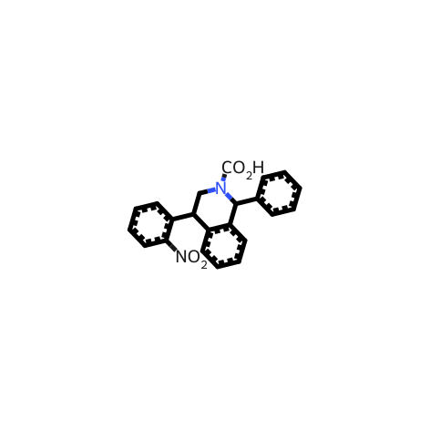 O=C(O)N1CC(c2ccccc2[N+](=O)[O-])c2ccccc2C1c1ccccc1